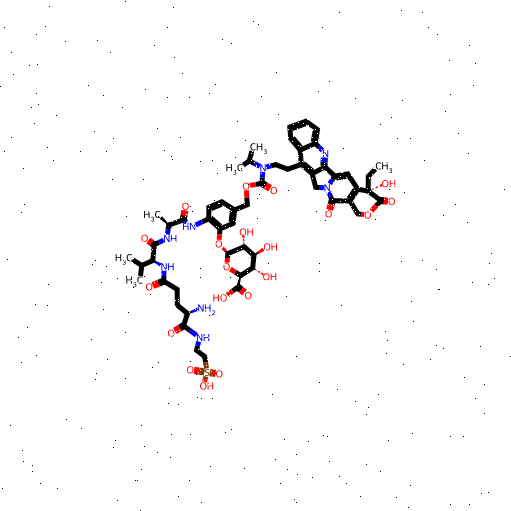 CC[C@@]1(O)C(=O)OCc2c1cc1n(c2=O)Cc2c-1nc1ccccc1c2CCN(C(=O)OCc1ccc(NC(=O)[C@H](C)NC(=O)[C@@H](NC(=O)CC[C@@H](N)C(=O)NCCS(=O)(=O)O)C(C)C)c(O[C@@H]2O[C@H](C(=O)O)[C@@H](O)[C@H](O)[C@H]2O)c1)C(C)C